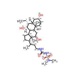 CC[C@H]1[C@@H](O)C2[C@H](C[C@@H](O)[C@]3(C)[C@@H]([C@H](C)CCNC(=O)NS(=O)(=O)N(C)C)CC[C@@H]23)[C@@]2(C)CC[C@@H](O)C[C@@H]12